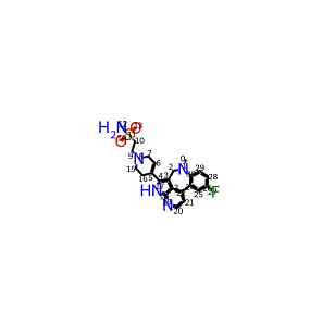 CN1Cc2c(C3=CCN(CCS(N)(=O)=O)CC3)[nH]c3nccc(c23)-c2cc(F)ccc21